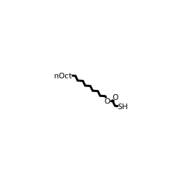 CCCCCCCCCCCCCCCCCOC(=O)CS